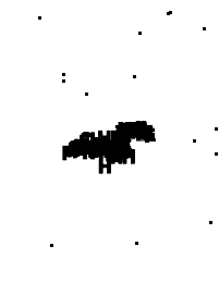 CC(c1ccc(F)cc1)n1cc(C(=O)Nc2c[nH]c(=O)c(-c3cc4cc(CN5CCC(F)CC5)ccc4[nH]3)c2)cn1